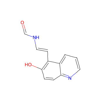 O=CNC=Cc1c(O)ccc2ncccc12